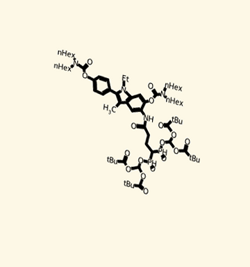 CCCCCCN(CCCCCC)C(=O)Oc1ccc(-c2c(C)c3cc(NC(=O)CCC([PH](=O)OC(OC(=O)C(C)(C)C)OC(=O)C(C)(C)C)[PH](=O)OC(OC(=O)C(C)(C)C)OC(=O)C(C)(C)C)c(OC(=O)N(CCCCCC)CCCCCC)cc3n2CC)cc1